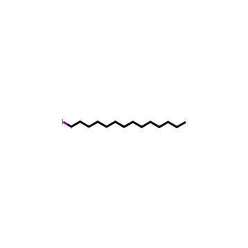 CCCCCCCCCCCCC[CH]I